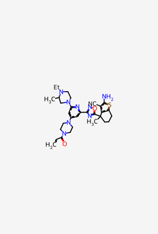 C=CC(=O)N1CCN(c2cc(-c3noc(C4(C)CCCc5sc(N)c(C#N)c54)n3)nc(N3CCN(CC)C(C)C3)c2)CC1